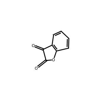 O=C1Oc2ccc[c]c2C1=O